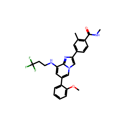 CNC(=O)c1ccc(-c2cn3cc(-c4ccccc4OC)cc(NCCC(F)(F)F)c3n2)cc1C